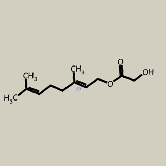 CC(C)=CCC/C(C)=C/COC(=O)CO